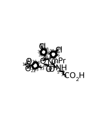 CCCC(C(=O)NCCCC(=O)O)N1C(=O)[C@H](Cc2ccc(S(C)(=O)=O)cc2)O[C@@H](c2ccc(Cl)cc2)[C@H]1c1ccc(Cl)cc1